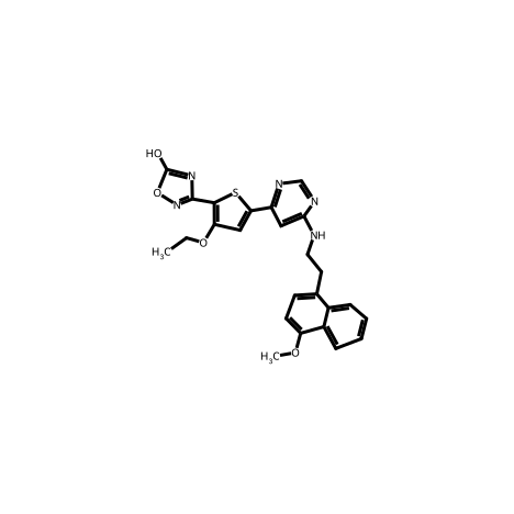 CCOc1cc(-c2cc(NCCc3ccc(OC)c4ccccc34)ncn2)sc1-c1noc(O)n1